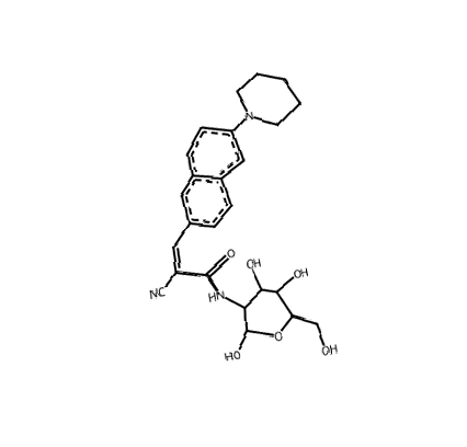 N#C/C(=C/c1ccc2cc(N3CCCCC3)ccc2c1)C(=O)NC1C(O)OC(CO)C(O)C1O